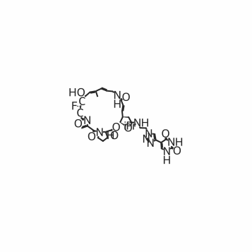 CC1=C\[C@@H](O)C[C@@H](F)Cc2nc(co2)C(=O)N2CCC[C@@H]2C(=O)O[C@H](C(C)C)[C@H](CC(=O)NCCn2cc(-c3c[nH]c(=O)[nH]c3=O)nn2)/C=C/C(=O)NC\C=C\1